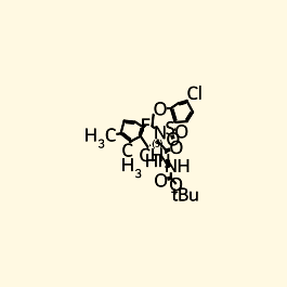 Cc1ccc(F)c(C(C)[C@@H](C(=O)NNC(=O)OC(C)(C)C)N2CCOc3cc(Cl)ccc3S2(=O)=O)c1C